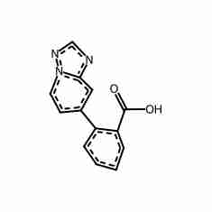 O=C(O)c1ccccc1-c1ccn2ncnc2c1